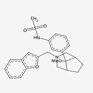 COC1(c2cccc(NS(C)(=O)=O)c2)C2CCC1CN(Cc1cc3ccccc3o1)C2